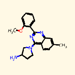 COc1ccccc1-c1nc(N2CCC(N)C2)c2ccc(C)cc2n1